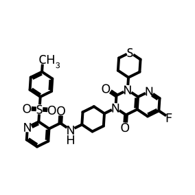 Cc1ccc(S(=O)(=O)c2ncccc2C(=O)NC2CCC(n3c(=O)c4cc(F)cnc4n(C4CCSCC4)c3=O)CC2)cc1